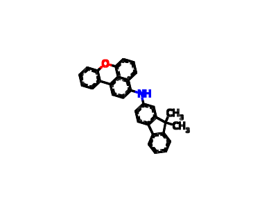 CC1(C)c2ccccc2-c2ccc(Nc3ccc4c5c(cccc35)Oc3ccccc3-4)cc21